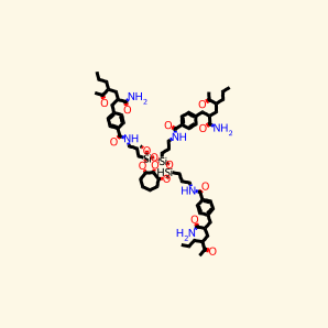 CCCC(CC(Cc1ccc(C(=O)NCCC[SiH]2OC3CCCCC4O[Si](CCCNC(=O)c5ccc(CC(CC(CCC)C(C)=O)C(N)=O)cc5)(OC)O[Si](CCCNC(=O)c5ccc(CC(CC(CCC)C(C)=O)C(N)=O)cc5)(OC34)O2)cc1)C(N)=O)C(C)=O